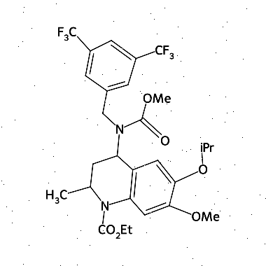 CCOC(=O)N1c2cc(OC)c(OC(C)C)cc2C(N(Cc2cc(C(F)(F)F)cc(C(F)(F)F)c2)C(=O)OC)CC1C